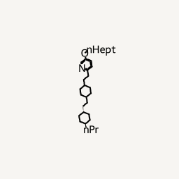 CCCCCCCOc1ccc(CCC2CCC(CC[C@H]3CC[C@H](CCC)CC3)CC2)nc1